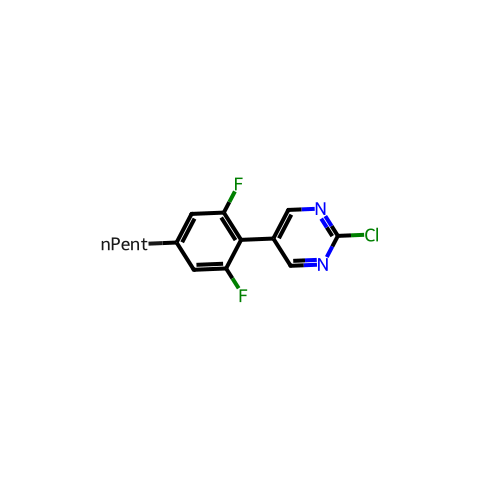 CCCCCc1cc(F)c(-c2cnc(Cl)nc2)c(F)c1